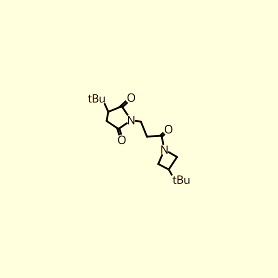 CC(C)(C)C1CN(C(=O)CCN2C(=O)CC(C(C)(C)C)C2=O)C1